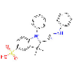 CC1(C)C(/C=C/Nc2ccccc2)=[N+](c2ccccc2)c2ccc(S(=O)(=O)O)cc21